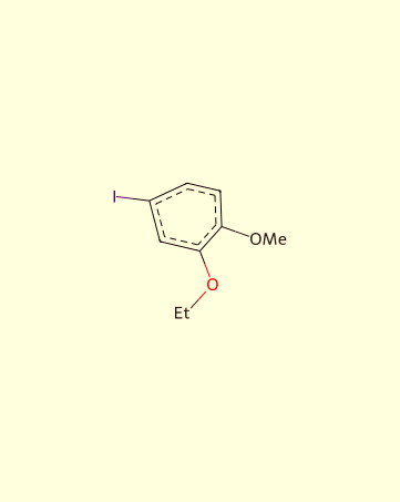 CCOc1cc(I)ccc1OC